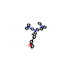 CC1(C)c2cc(-c3ccc4oc5ccccc5c4c3)ccc2-c2ccc(N(c3ccc(-c4ccc5c6ccccc6n(-c6ccccc6)c5c4)cc3)c3ccc(-n4c5ccccc5c5ccccc54)cc3)cc21